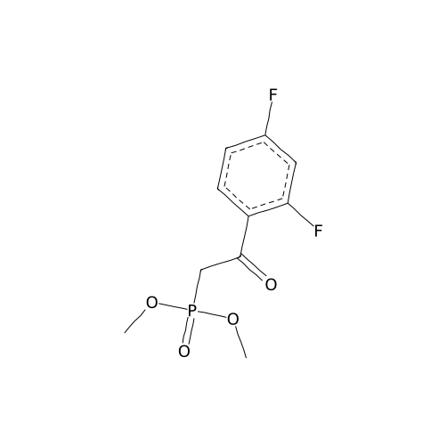 COP(=O)(CC(=O)c1ccc(F)cc1F)OC